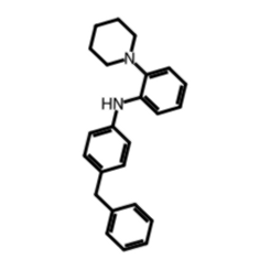 c1ccc(Cc2ccc(Nc3ccccc3N3CCCCC3)cc2)cc1